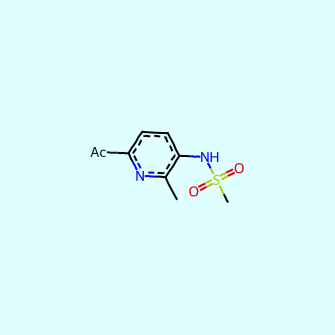 CC(=O)c1ccc(NS(C)(=O)=O)c(C)n1